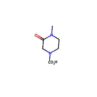 CN1CCN(C(=O)O)CC1=O